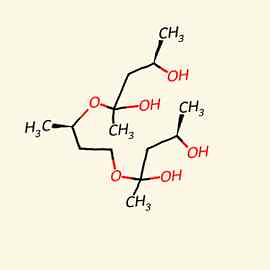 C[C@H](CCOC(C)(O)C[C@@H](C)O)OC(C)(O)C[C@@H](C)O